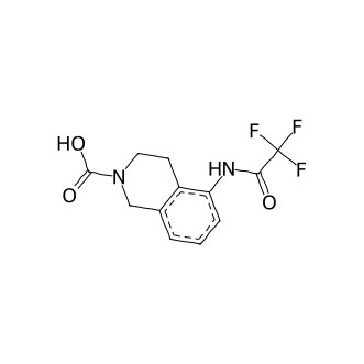 O=C(O)N1CCc2c(cccc2NC(=O)C(F)(F)F)C1